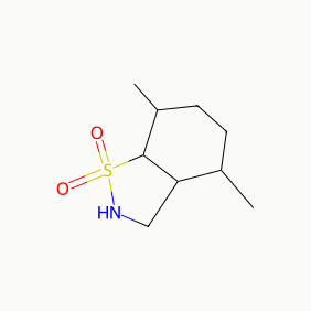 CC1CCC(C)C2C1CNS2(=O)=O